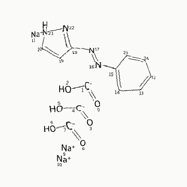 O=[C-]O.O=[C-]O.O=[C-]O.[Na+].[Na+].[Na+].c1ccc(N=Nc2cc[nH]n2)cc1